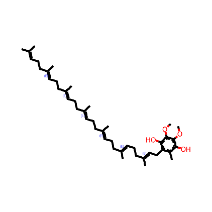 COc1c(O)c(C)c(C/C=C(\C)CC/C=C(\C)CC/C=C(\C)CC/C=C(\C)CC/C=C(\C)CC/C=C(\C)CCC=C(C)C)c(O)c1OC